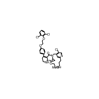 COCCCc1cc(CN(C(=O)C2=C(c3ccc(OCCOc4c(Cl)cccc4Cl)cc3)CCN[C@@H]2COCOC)C2CC2)c(Cl)cn1